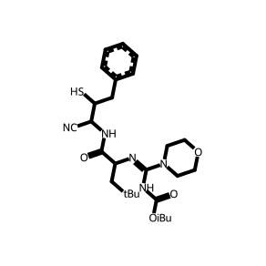 CC(C)COC(=O)N/C(=N\C(CC(C)(C)C)C(=O)NC(C#N)C(S)Cc1ccccc1)N1CCOCC1